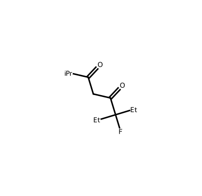 CCC(F)(CC)C(=O)CC(=O)C(C)C